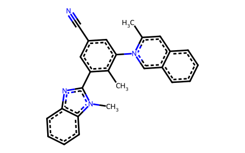 Cc1c(-c2nc3ccccc3n2C)cc(C#N)cc1-[n+]1cc2ccccc2cc1C